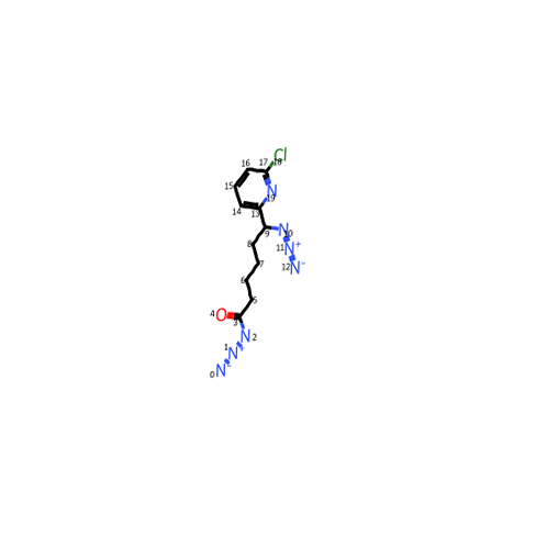 [N-]=[N+]=NC(=O)CCCCC(N=[N+]=[N-])c1cccc(Cl)n1